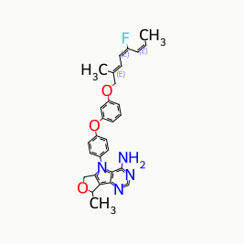 C\C=C/C(F)=C\C=C(/C)COc1cccc(Oc2ccc(-n3c4c(c5ncnc(N)c53)C(C)OC4)cc2)c1